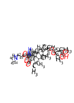 CC(C)C1=C2C3CCC4C5(C)CC[C@H](OC(=O)CC(C)(C)C(=O)O)C(C)(C)C5CC[C@@]4(C)[C@]3(C)CC[C@@]2(NC(=O)OCCN2CCCC2)CC1=O